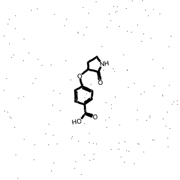 O=C(O)c1ccc(OC2CCNC2=O)cc1